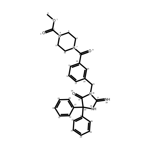 COC(=O)N1CCN(C(=O)c2cccc(CN3C(=N)NC(c4ccccc4)(c4ccccc4)C3=O)c2)CC1